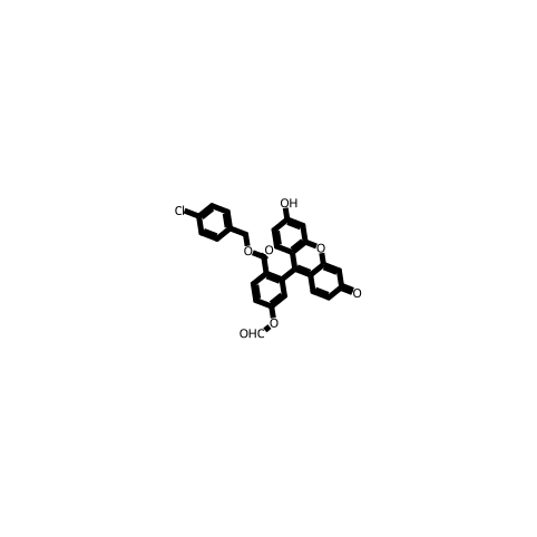 O=COc1ccc(C(=O)OCc2ccc(Cl)cc2)c(-c2c3ccc(=O)cc-3oc3cc(O)ccc23)c1